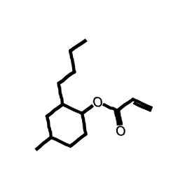 C=CC(=O)OC1CCC(C)CC1CCCC